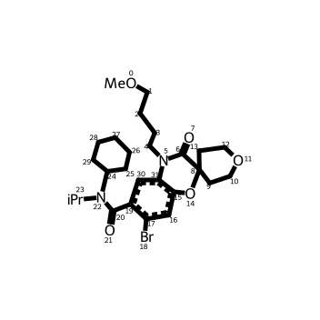 COCCCCN1C(=O)C2(CCOCC2)Oc2cc(Br)c(C(=O)N(C(C)C)C3CCCCC3)cc21